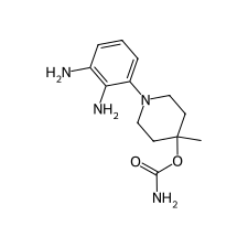 CC1(OC(N)=O)CCN(c2cccc(N)c2N)CC1